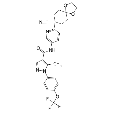 Cc1c(C(=O)Nc2ccc(C3(C#N)CCC4(CC3)OCCO4)nc2)cnn1-c1ccc(OC(F)(F)F)cc1